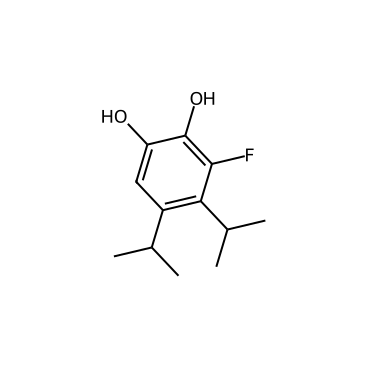 CC(C)c1cc(O)c(O)c(F)c1C(C)C